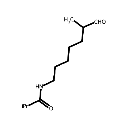 CC(C=O)CCCCCNC(=O)C(C)C